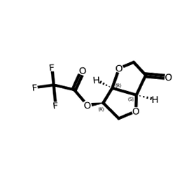 O=C1CO[C@H]2[C@@H]1OC[C@H]2OC(=O)C(F)(F)F